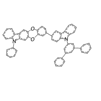 c1ccc(-c2cc(-c3ccccc3)cc(-n3c4ccccc4c4cc(-c5ccc6c(c5)Oc5cc7c(cc5O6)c5ccccc5n7-c5ccccc5)ccc43)c2)cc1